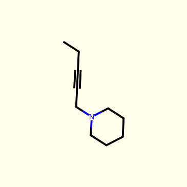 CCC#C[CH]N1CCCCC1